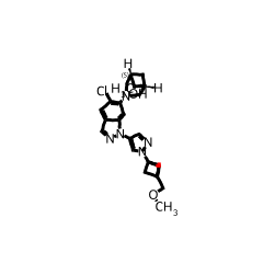 COCC12CC(n3cc(-n4ncc5cc(Cl)c(N6C[C@H]7C[C@@H](C6)C7(C)O)cc54)cn3)(C1)C2